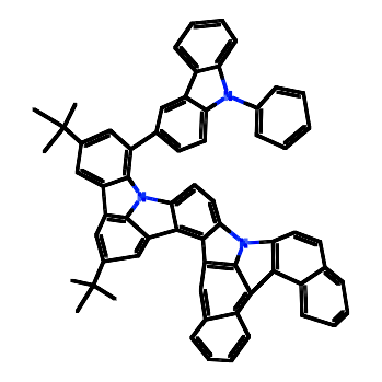 CC(C)(C)c1cc(-c2ccc3c(c2)c2ccccc2n3-c2ccccc2)c2c(c1)c1cc(C(C)(C)C)cc3c4c5c6cc7ccccc7c7c8c9ccccc9ccc8n(c5ccc4n2c13)c67